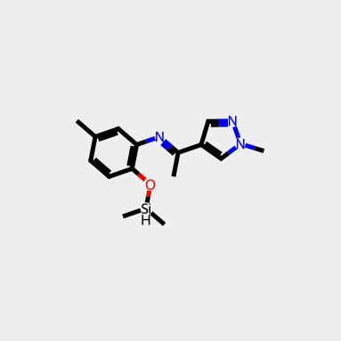 CC(=Nc1cc(C)ccc1O[SiH](C)C)c1cnn(C)c1